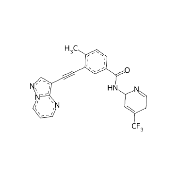 Cc1ccc(C(=O)NC2C=C(C(F)(F)F)CC=N2)cc1C#Cc1cnn2cccnc12